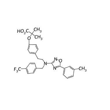 Cc1cccc(-c2nc(N(CCc3ccc(OC(C)(C)C(=O)O)cc3)Cc3ccc(C(F)(F)F)cc3)no2)c1